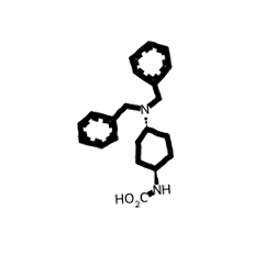 O=C(O)N[C@H]1CC[C@H](N(Cc2ccccc2)Cc2ccccc2)CC1